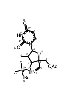 CC(=O)OCC1(C=N)OC(n2ccc(=O)[nH]c2=O)C(C)C1O[Si](C)(C)C(C)(C)C